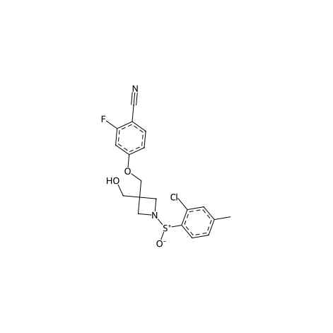 Cc1ccc([S+]([O-])N2CC(CO)(COc3ccc(C#N)c(F)c3)C2)c(Cl)c1